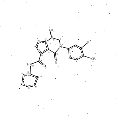 C[C@H]1CN(c2ccc(C(F)(F)F)c(F)c2)C(=O)c2c(C(=O)Nc3ccccn3)cnn21